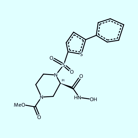 COC(=O)N1CCN(S(=O)(=O)c2ccc(-c3ccccc3)s2)[C@@H](C(=O)NO)C1